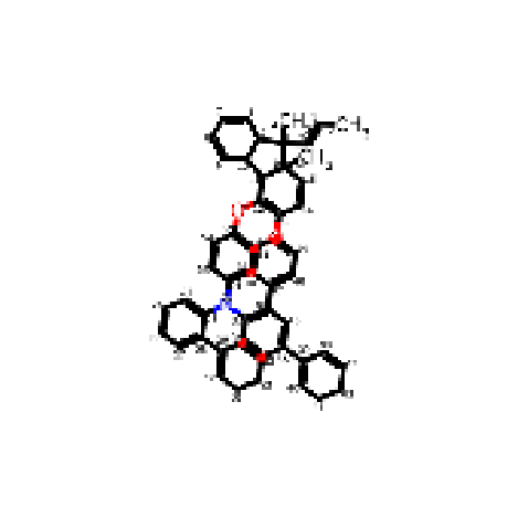 C/C=C/C1(C)C2C=CC=CC2C2C3=C(C=CC21C)Oc1cc(N(c2ccccc2C2=CCCC=C2)c2ccc(C4=CCCC=C4)cc2-c2ccccc2)ccc1O3